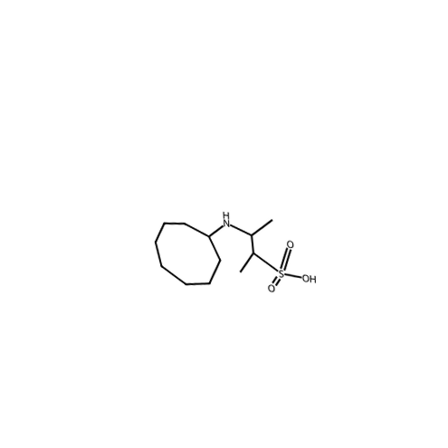 CC(NC1CCCCCCC1)C(C)S(=O)(=O)O